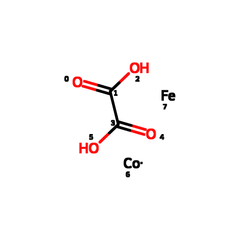 O=C(O)C(=O)O.[Co].[Fe]